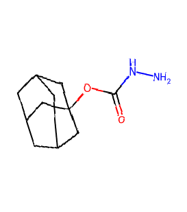 NNC(=O)OC12CC3CC(CC(C3)C1)C2